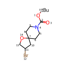 CC(C)(C)OC(=O)N1CCC2(CC1)CC(Br)CO2